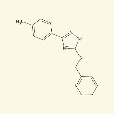 Cc1ccc(-c2n[nH]c(SCC3=NCCC=C3)n2)cc1